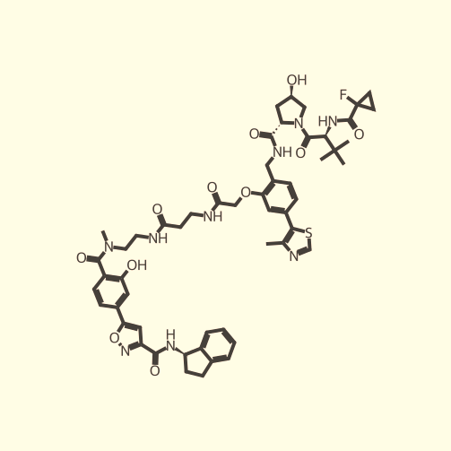 Cc1ncsc1-c1ccc(CNC(=O)[C@@H]2C[C@@H](O)CN2C(=O)[C@@H](NC(=O)C2(F)CC2)C(C)(C)C)c(OCC(=O)NCCC(=O)NCCN(C)C(=O)c2ccc(-c3cc(C(=O)N[C@@H]4CCc5ccccc54)no3)cc2O)c1